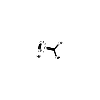 C=C.O=C(O)O.[HH]